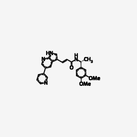 COc1ccc([C@@H](C)NC(=O)/C=C/c2c[nH]c3ncc(-c4cccnc4)cc23)cc1OC